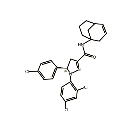 O=C(NC12CC=CC(CCC1)C2)C1=NN(c2ccc(Cl)cc2Cl)[C@@H](c2ccc(Cl)cc2)C1